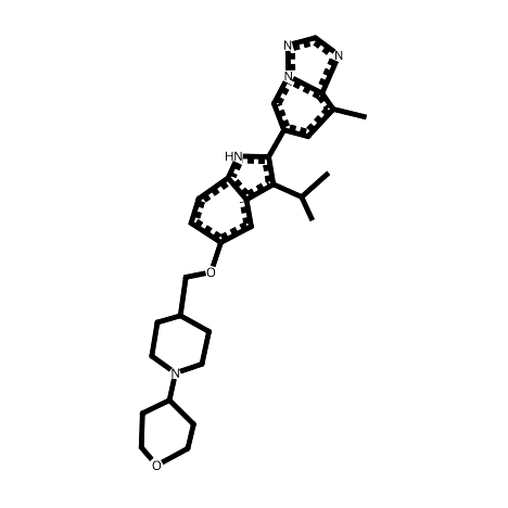 Cc1cc(-c2[nH]c3ccc(OCC4CCN(C5CCOCC5)CC4)cc3c2C(C)C)cn2ncnc12